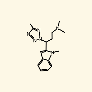 Cc1nnn(C(CCN(C)C)c2cc3ccccc3n2C)n1